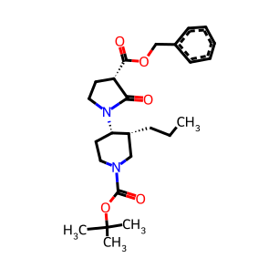 CCC[C@@H]1CN(C(=O)OC(C)(C)C)CC[C@@H]1N1CC[C@H](C(=O)OCc2ccccc2)C1=O